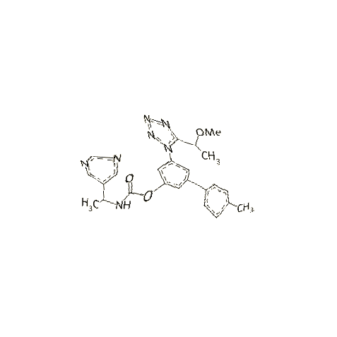 COC(C)c1nnnn1-c1cc(OC(=O)NC(C)c2cncnc2)cc(-c2ccc(C)cc2)c1